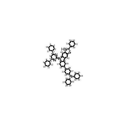 c1ccc(-c2cc(-c3ccccc3)nc(-n3c4ccc(-c5ccc(N(c6ccccc6)c6ccccc6)cc5)cc4c4cc5c(cc43)NC(c3ccccc3)S5)n2)cc1